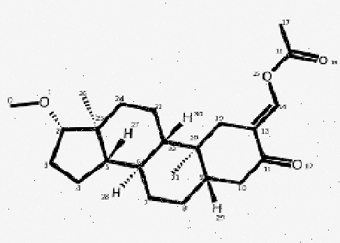 CO[C@H]1CC[C@H]2[C@@H]3CC[C@H]4CC(=O)/C(=C/OC(C)=O)C[C@]4(C)[C@H]3CC[C@]12C